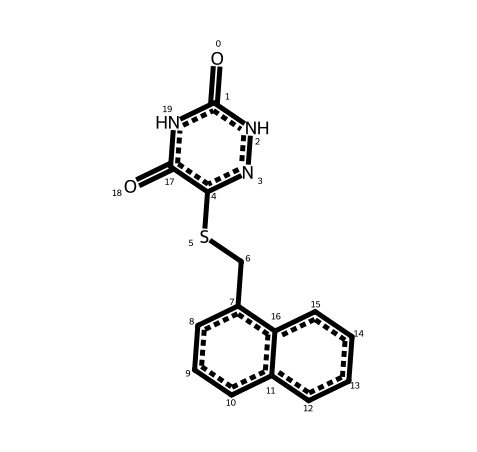 O=c1[nH]nc(SCc2cccc3ccccc23)c(=O)[nH]1